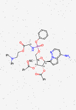 CC(C)C(=O)O[C@H]1[C@H](c2ccc3c(N)ccnn23)O[C@](C#N)(COP(=O)(N[C@@H](C)C(=O)OCCN(C(C)C)C(C)C)Oc2ccccc2)[C@H]1OC(=O)C(C)C